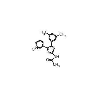 CC(=O)Nc1nc(-c2cc(C)cc(C)c2)c(-c2ccc[n+]([O-])c2)s1